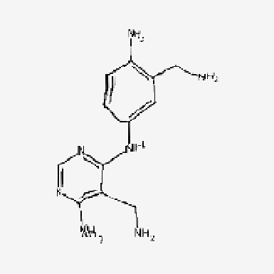 NCc1cc(Nc2ncnc(N)c2CN)ccc1N